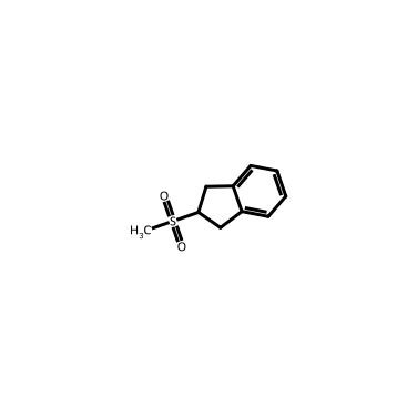 CS(=O)(=O)C1Cc2ccccc2C1